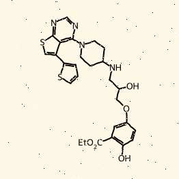 CCOC(=O)c1cc(OCC(O)CNC2CCN(c3ncnc4scc(-c5cccs5)c34)CC2)ccc1O